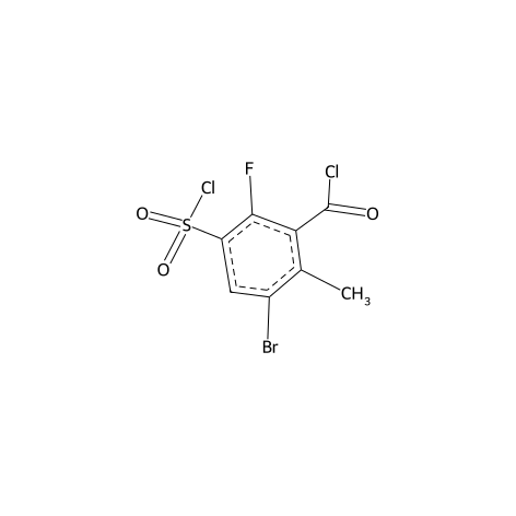 Cc1c(Br)cc(S(=O)(=O)Cl)c(F)c1C(=O)Cl